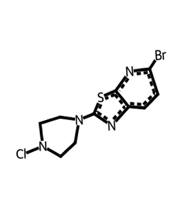 ClN1CCN(c2nc3ccc(Br)nc3s2)CC1